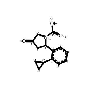 O=C1CC(c2ccccc2C2CC2)N(C(=O)O)C1